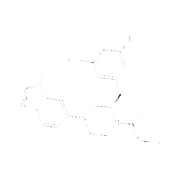 Cn1cnc2ccc(N3CCN(C(=O)OC(C)(C)C)[C@H](Cc4cc(F)cc(C(F)(F)F)c4)C3)cc21